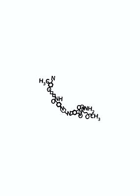 CCC(=O)CCC(C(N)=O)N1C(=O)c2cc3c(cc2C1=O)CN(CC1CCN(c2ccc(C(=O)NC4CC5(C4)CC(Oc4ccc(C#N)c(C)c4)C5)cc2)CC1)C3